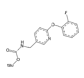 CC(C)(C)OC(=O)NCc1ccc(Oc2ccccc2F)nc1